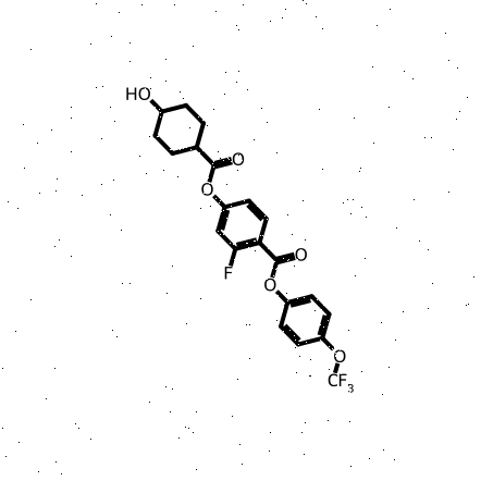 O=C(Oc1ccc(OC(F)(F)F)cc1)c1ccc(OC(=O)C2CCC(O)CC2)cc1F